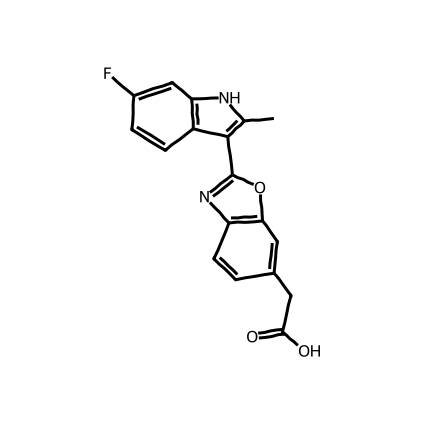 Cc1[nH]c2cc(F)ccc2c1-c1nc2ccc(CC(=O)O)cc2o1